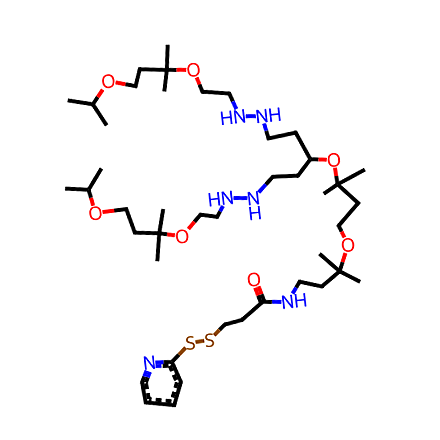 CC(C)OCCC(C)(C)OCCNNCCC(CCNNCCOC(C)(C)CCOC(C)C)OC(C)(C)CCOC(C)(C)CCNC(=O)CCSSc1ccccn1